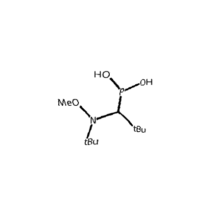 CON(C(P(O)O)C(C)(C)C)C(C)(C)C